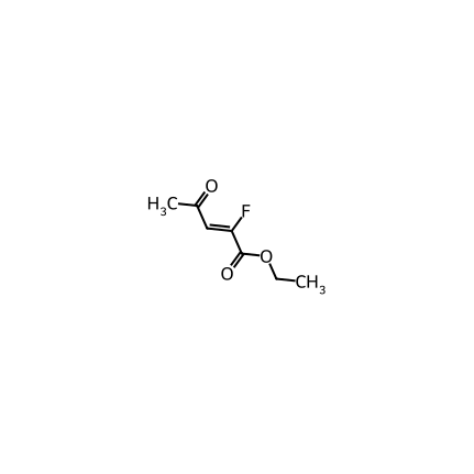 CCOC(=O)/C(F)=C/C(C)=O